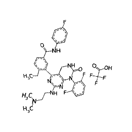 CCc1ccc(C(=O)Nc2ccc(F)cc2)cc1-c1nc(NCCN(C)C)nc2c1CNC(=O)N2c1c(F)cccc1F.O=C(O)C(F)(F)F